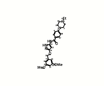 CCN1CCN(c2ccc(C(=O)Nc3cc(OCc4cc(OC)cc(OC)c4)n[nH]3)cc2)CC1